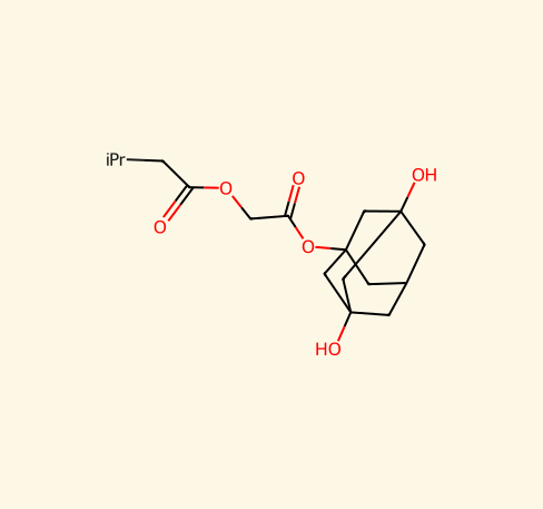 CC(C)CC(=O)OCC(=O)OC12CC3CC(O)(CC(O)(C3)C1)C2